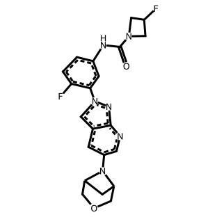 O=C(Nc1ccc(F)c(-n2cc3cc(N4C5COCC4C5)cnc3n2)c1)N1CC(F)C1